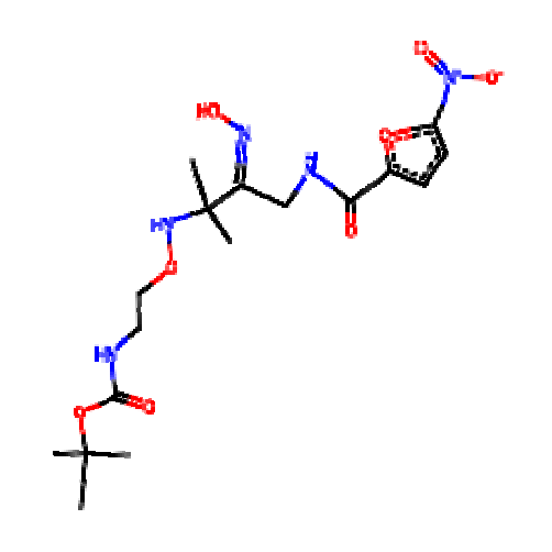 CC(C)(C)OC(=O)NCCONC(C)(C)C(CNC(=O)c1ccc([N+](=O)[O-])o1)=NO